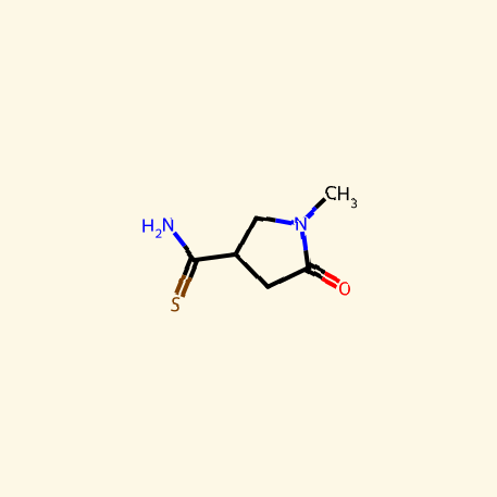 CN1CC(C(N)=S)CC1=O